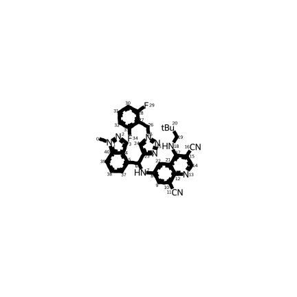 Cn1ncc2c(C(Nc3cc(C#N)c4ncc(C#N)c(NCC(C)(C)C)c4c3)c3cn(Cc4c(F)cccc4F)nn3)cccc21